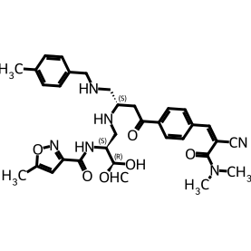 Cc1ccc(CNC[C@H](CC(=O)c2ccc(C=C(C#N)C(=O)N(C)C)cc2)NC[C@H](NC(=O)c2cc(C)on2)[C@@H](O)C=O)cc1